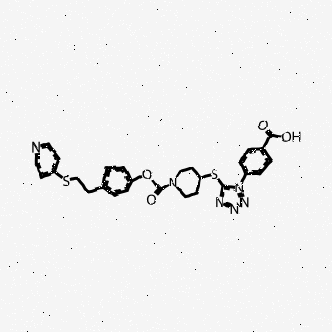 O=C(O)c1ccc(-n2nnnc2SC2CCN(C(=O)Oc3ccc(CCSc4ccncc4)cc3)CC2)cc1